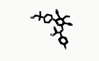 CCc1c(C#N)c(SC(C(N)=O)c2ccc(F)cc2)nc(N2CCN(C(C)(C)CO)CC2)c1C#N